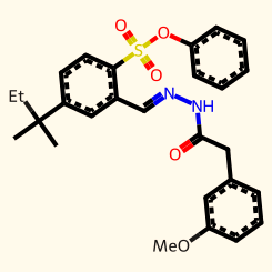 CCC(C)(C)c1ccc(S(=O)(=O)Oc2ccccc2)c(/C=N/NC(=O)Cc2cccc(OC)c2)c1